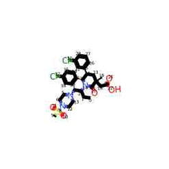 CCC(CN1CCN(S(C)(=O)=O)CC1)N1C(=O)[C@@](C)(CC(=O)O)C[C@H](c2cccc(Cl)c2)[C@H]1c1ccc(Cl)cc1